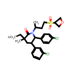 CC(CCS(=O)(=O)C1COC1)N1C(=O)C(C)(CC(=O)O)CC(c2cccc(Cl)c2)C1c1ccc(Cl)cc1